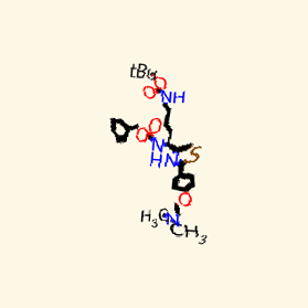 CN(C)CCOc1ccc(-c2nc([C@H](CCCCNC(=O)OC(C)(C)C)NC(=O)OCc3ccccc3)cs2)cc1